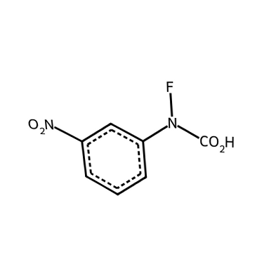 O=C(O)N(F)c1cccc([N+](=O)[O-])c1